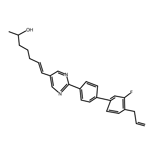 C=CCc1ccc(-c2ccc(-c3ncc(C=CCCCC(C)O)cn3)cc2)cc1F